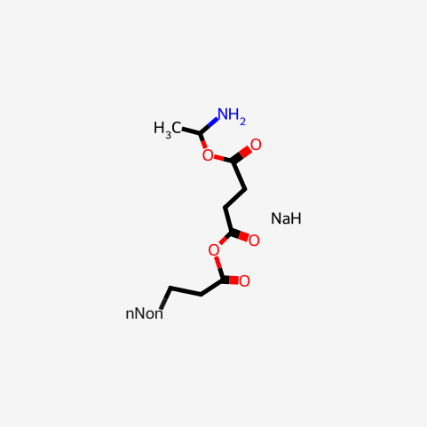 CCCCCCCCCCCC(=O)OC(=O)CCC(=O)OC(C)N.[NaH]